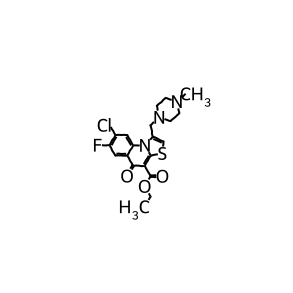 CCOC(=O)c1c(=O)c2cc(F)c(Cl)cc2n2c(CN3CCN(C)CC3)csc12